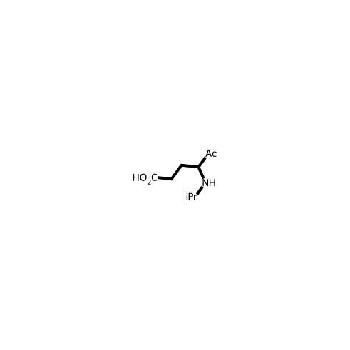 CC(=O)C(CCC(=O)O)NC(C)C